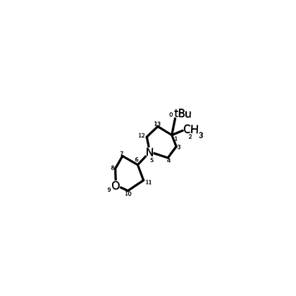 CC(C)(C)C1(C)CCN(C2CCOCC2)CC1